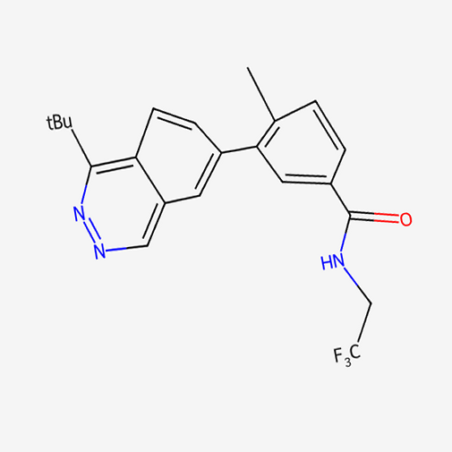 Cc1ccc(C(=O)NCC(F)(F)F)cc1-c1ccc2c(C(C)(C)C)nncc2c1